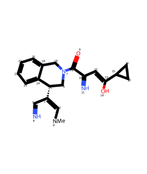 CN/C=C(\C=N)[C@H]1CN(C(=O)C(=N)/C=C(\O)C2CC2)Cc2ccccc21